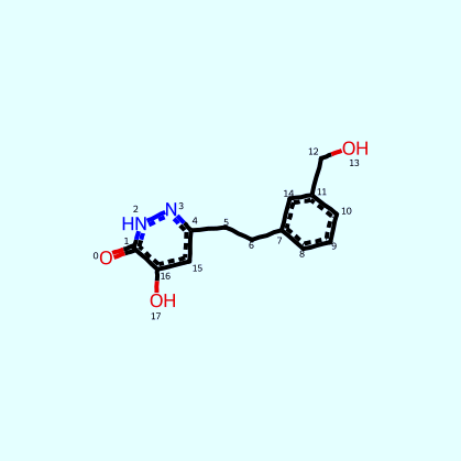 O=c1[nH]nc(CCc2cccc(CO)c2)cc1O